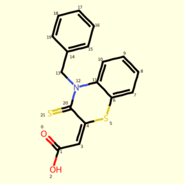 O=C(O)C=C1Sc2ccccc2N(Cc2ccccc2)C1=S